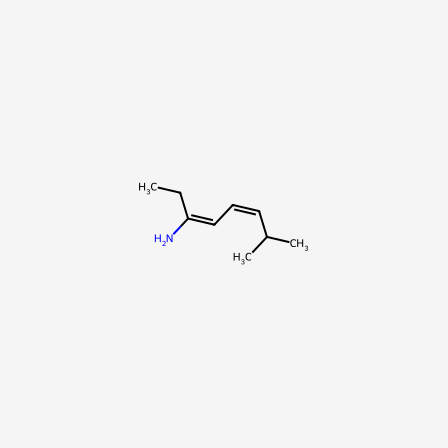 CC/C(N)=C\C=C/C(C)C